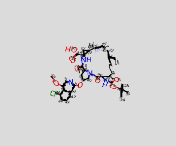 COc1cnc(O[C@@H]2C[C@H]3C(=O)N[C@]4(C(=O)O)C[C@H]4/C=C\CCC(C)C[C@@H](C)C(NC(=O)OC(C)(C)C)C(=O)N3C2)c2cccc(Cl)c12